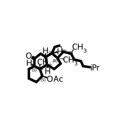 CC(=O)O[C@H]1CCC[C@@H]2C(=O)C[C@H]3[C@@H]4CC[C@H]([C@H](C)CCCC(C)C)[C@@]4(C)CC[C@@H]3[C@@]12C